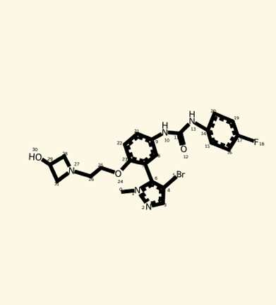 Cn1ncc(Br)c1-c1cc(NC(=O)Nc2ccc(F)cc2)ccc1OCCN1CC(O)C1